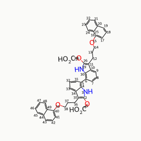 O=C(O)Oc1[nH]c2c(-c3cccc4c(CCCOc5cccc6ccccc56)c(OC(=O)O)[nH]c34)cccc2c1CCCOc1cccc2ccccc12